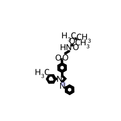 CC1C=C(N2/C(=N/c3ccccc3)CC2c2ccc(C(=O)OCCNC(=O)OC(C)(C)C)cc2)C=CC1